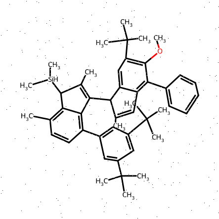 COc1c(C(C)(C)C)cc2c(c1-c1ccccc1)C=C(C)C2C1=C(C)C([SiH](C)C)c2c(C)ccc(-c3cc(C(C)(C)C)cc(C(C)(C)C)c3)c21